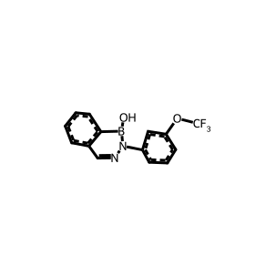 OB1c2ccccc2C=NN1c1cccc(OC(F)(F)F)c1